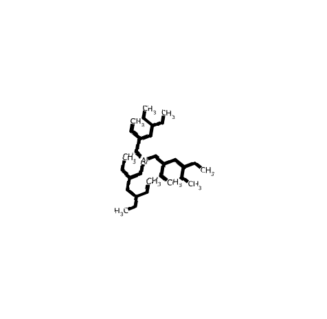 CCC(CC)CC(CC)[CH2][Al]([CH2]C(CC)CC(CC)CC)[CH2]C(CC)CC(CC)CC